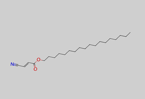 CCCCCCCCCCCCCCCCCCOC(=O)C=CC#N